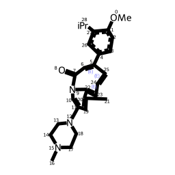 COc1ccc(C2=C\C(=O)N3C=C(N4CCN(C)CC4)C=C(C)\C3=C/C=C/2)cc1C(C)C